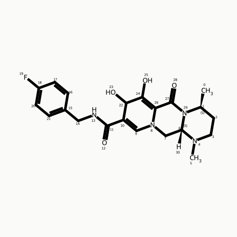 C[C@H]1CCN(C)[C@@H]2CN3C=C(C(=O)NCc4ccc(F)cc4)C(O)C(O)=C3C(=O)N12